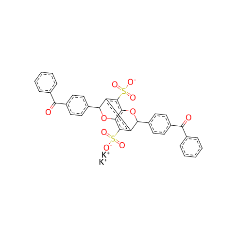 O=C(c1ccccc1)c1ccc(C2Oc3c4c(S(=O)(=O)[O-])c2c(c3S(=O)(=O)[O-])C(c2ccc(C(=O)c3ccccc3)cc2)O4)cc1.[K+].[K+]